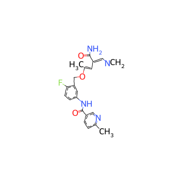 C=N/C=C(\C=C(/C)OCc1cc(NC(=O)c2ccc(C)nc2)ccc1F)C(N)=O